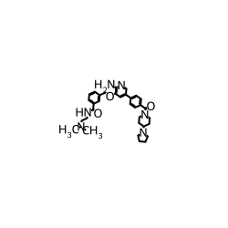 CN(C)CCNC(=O)c1cccc(COc2cc(-c3ccc(C(=O)N4CCC(N5CCCC5)CC4)cc3)cnc2N)c1